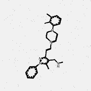 CNCc1c(CCN2CCN(c3cccc(C)c3C)CC2)nn(-c2ccccc2)c1C